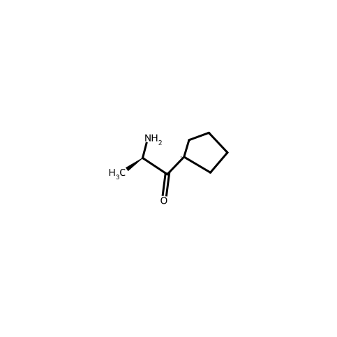 C[C@@H](N)C(=O)[C]1CCCC1